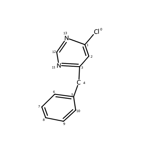 Clc1cc(Cc2ccccc2)ncn1